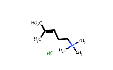 CC(=CCC[N+](C)(C)C)C(=O)O.Cl